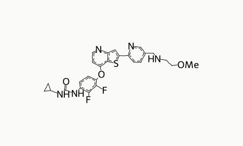 COCCNCc1ccc(-c2cc3nccc(Oc4ccc(NC(=O)NC5CC5)c(F)c4F)c3s2)nc1